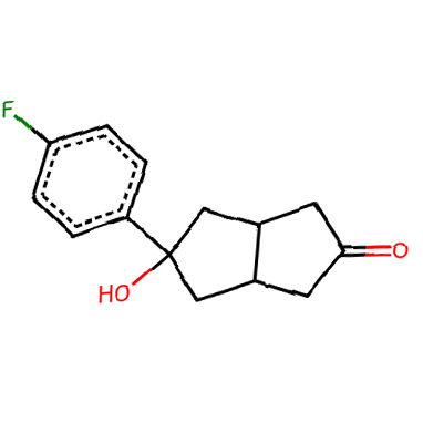 O=C1CC2CC(O)(c3ccc(F)cc3)CC2C1